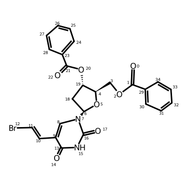 O=C(OC[C@H]1O[C@@H](n2cc(C=CBr)c(=O)[nH]c2=O)C[C@@H]1OC(=O)c1ccccc1)c1ccccc1